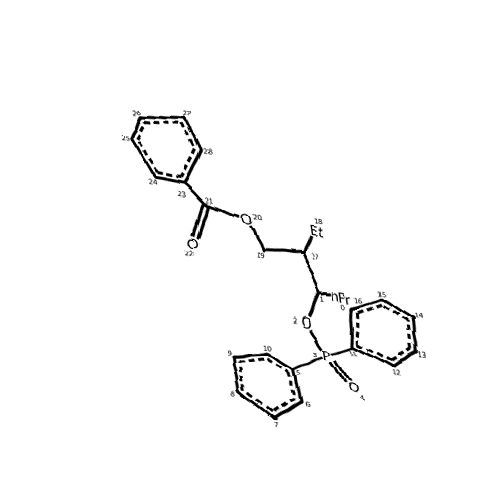 CCCC(OP(=O)(c1ccccc1)c1ccccc1)C(CC)COC(=O)c1ccccc1